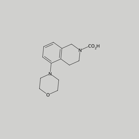 O=C(O)N1CCc2c(cccc2N2CCOCC2)C1